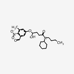 CCCCN(C(=O)CCC(O)Oc1cc(C)c([N+](=O)[O-])c(C=O)c1)C1CCCCC1